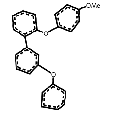 COc1ccc(Oc2c[c]ccc2-c2cccc(Oc3ccccc3)c2)cc1